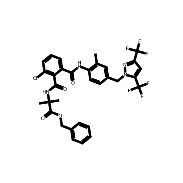 Cc1cc(Cn2nc(C(F)(F)F)cc2C(F)(F)F)ccc1NC(=O)c1cccc(Cl)c1C(=O)NC(C)(C)C(=O)OCc1ccccc1